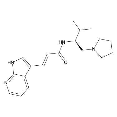 CC(C)[C@@H](CN1CCCC1)NC(=O)C=Cc1c[nH]c2ncccc12